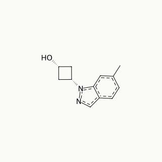 Cc1ccc2cnn([C@H]3C[C@@H](O)C3)c2c1